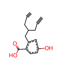 C#CCC(CC#C)Cc1cc(O)ccc1C(=O)O